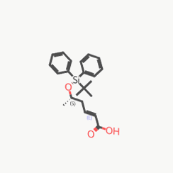 C[C@@H](C/C=C/C(=O)O)O[Si](c1ccccc1)(c1ccccc1)C(C)(C)C